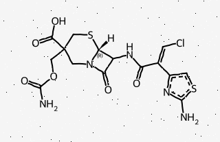 NC(=O)OCC1(C(=O)O)CS[C@@H]2C(NC(=O)C(=CCl)c3csc(N)n3)C(=O)N2C1